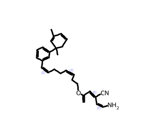 C=C(/C=C(C#N)\C=C/N)OCC/C=C\CC/C=C\c1cccc(C2(C)C=C(C)C=CC2)c1